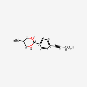 CCCCC1COC(c2ccc(C#CC(=O)O)cc2)OC1